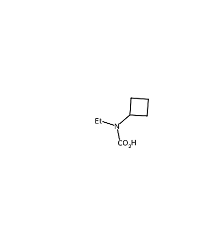 CCN(C(=O)O)C1CCC1